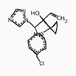 C=CC(O)(C(c1ccc(Cl)cc1)n1cncn1)C1(SC)CC1